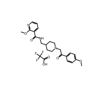 COc1ccc(C(=O)CN2CCC(CNC(=O)c3cccnc3OC)CC2)cc1.O=C(O)C(F)(F)F